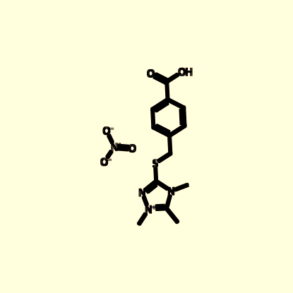 Cc1n(C)c(SCc2ccc(C(=O)O)cc2)n[n+]1C.O=[N+]([O-])[O-]